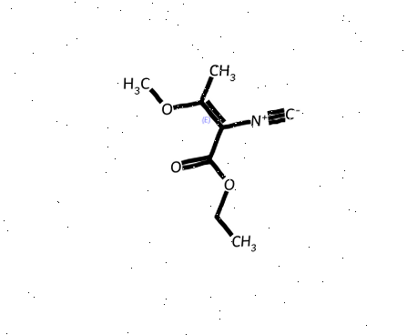 [C-]#[N+]/C(C(=O)OCC)=C(\C)OC